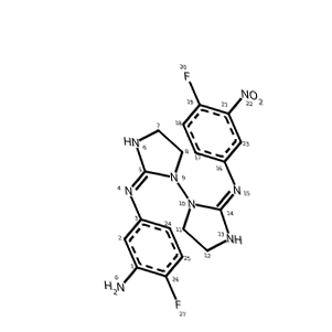 Nc1cc(N=C2NCCN2N2CCNC2=Nc2ccc(F)c([N+](=O)[O-])c2)ccc1F